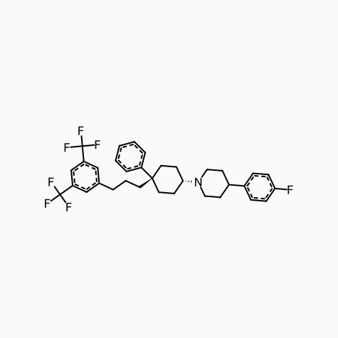 Fc1ccc(C2CCN([C@H]3CC[C@@](CCCc4cc(C(F)(F)F)cc(C(F)(F)F)c4)(c4ccccc4)CC3)CC2)cc1